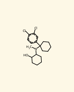 CN(C1CCCCC1O)C1(c2ccc(Cl)c(Cl)c2)CCCCC1